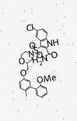 COc1ccccc1-c1cc(OC[C@@H]2CN(S(=O)(=O)c3c(C(N)=O)[nH]c4ccc(Cl)cc34)CCO2)ccc1C